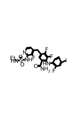 CCNS(=O)(=O)Nc1nccc(Cc2cc(C(N)=O)c(Nc3ccc(I)cc3F)c(F)c2F)c1F